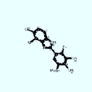 COc1cc(-c2nc3c(Cl)c(Cl)ccc3[nH]2)c(F)c(O)c1O